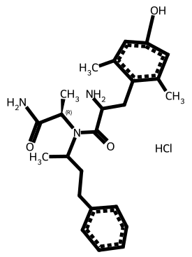 Cc1cc(O)cc(C)c1CC(N)C(=O)N(C(C)CCc1ccccc1)[C@H](C)C(N)=O.Cl